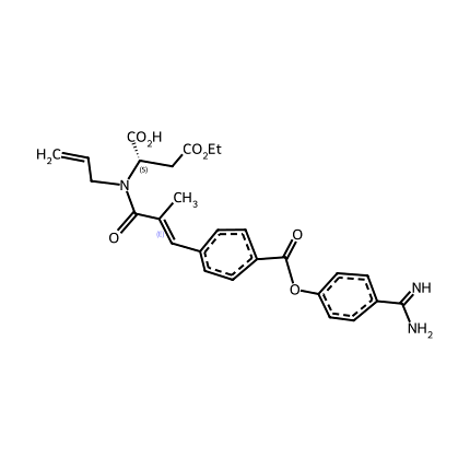 C=CCN(C(=O)/C(C)=C/c1ccc(C(=O)Oc2ccc(C(=N)N)cc2)cc1)[C@@H](CC(=O)OCC)C(=O)O